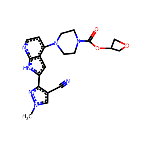 Cn1cc(C#N)c(-c2cc3c(N4CCN(C(=O)OC5COC5)CC4)ccnc3[nH]2)n1